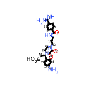 N=C(N)c1ccc(C(=O)NCCCN2CCN(C(CC(=O)O)c3ccc(N)cc3)C(=O)C2=O)cc1